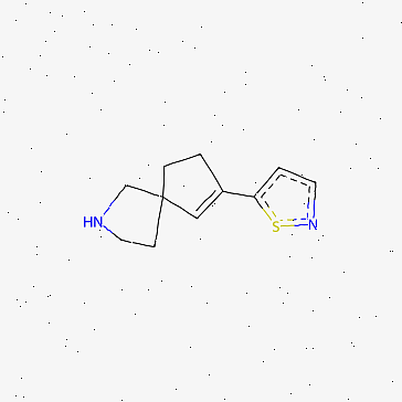 C1=C(c2ccns2)CCC12CCNC2